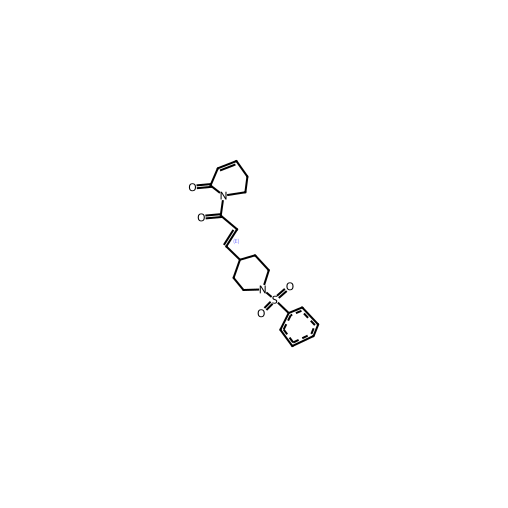 O=C1C=CCCN1C(=O)/C=C/C1CCN(S(=O)(=O)c2ccccc2)CC1